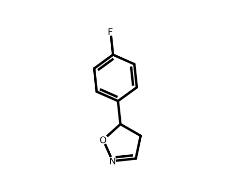 Fc1ccc(C2CC=NO2)cc1